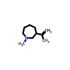 C=C(C)C1CCCCN(C)C1